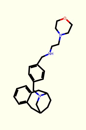 c1ccc2c(c1)CC1CCC(C2)N(Cc2ccc(CNCCN3CCOCC3)cc2)C1